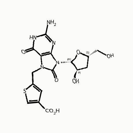 Nc1nc2c(c(=O)[nH]1)n(Cc1cc(C(=O)O)cs1)c(=O)n2[C@@H]1O[C@H](CO)C[C@H]1O